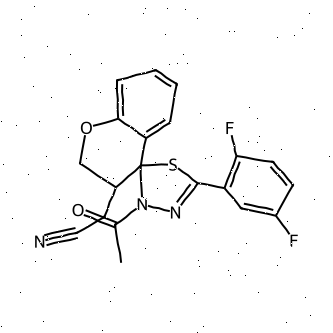 CC(=O)N1N=C(c2cc(F)ccc2F)SC12c1ccccc1OCC2CC#N